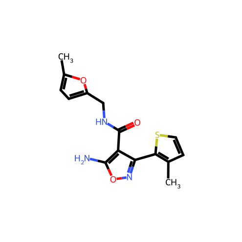 Cc1ccc(CNC(=O)c2c(-c3sccc3C)noc2N)o1